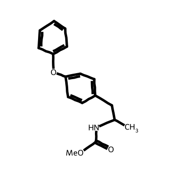 COC(=O)NC(C)Cc1ccc(Oc2ccccc2)cc1